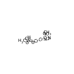 COC(=O)c1cc(-c2ccc(-c3ccc(OCCNC(=O)C(C)C)cc3)cc2)nc2ccncc12